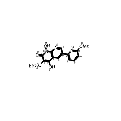 CCOC(=O)c1c(O)c2cc(-c3cccc(OC)n3)cnc2n(O)c1=O